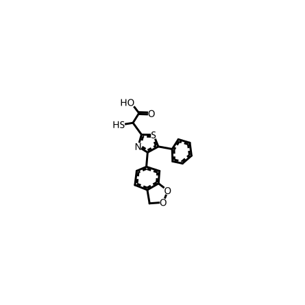 O=C(O)C(S)c1nc(-c2ccc3c(c2)OOC3)c(-c2ccccc2)s1